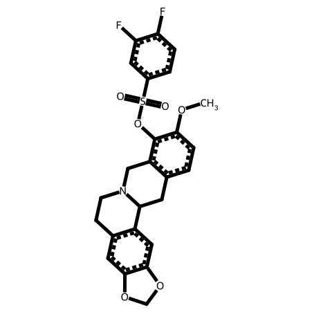 COc1ccc2c(c1OS(=O)(=O)c1ccc(F)c(F)c1)CN1CCc3cc4c(cc3C1C2)OCO4